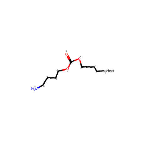 CCCCCCCCCCOC(=O)OCCCCN